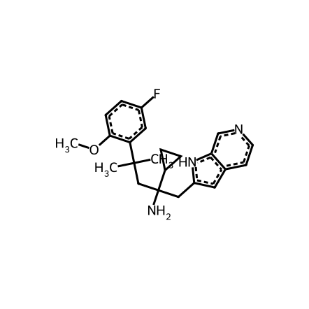 COc1ccc(F)cc1C(C)(C)CC(N)(Cc1cc2ccncc2[nH]1)C1CC1